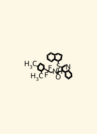 Cc1ccc(C(F)(F)CNC(=O)c2c(Sc3cccc4ccccc34)cnc3ccccc23)c(C)c1